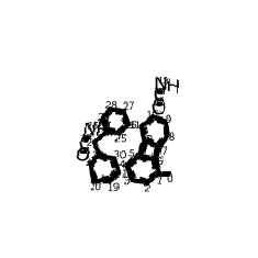 Cc1cccc2c1=c1ccccc1=2.N=C=O.N=C=O.c1ccc(Cc2ccccc2)cc1